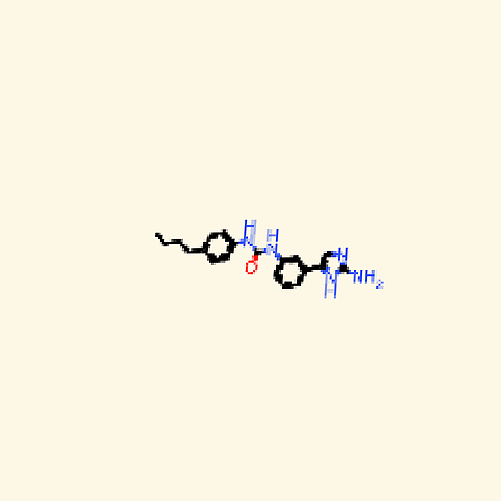 CCCCc1ccc(NC(=O)Nc2cccc(-c3cnc(N)[nH]3)c2)cc1